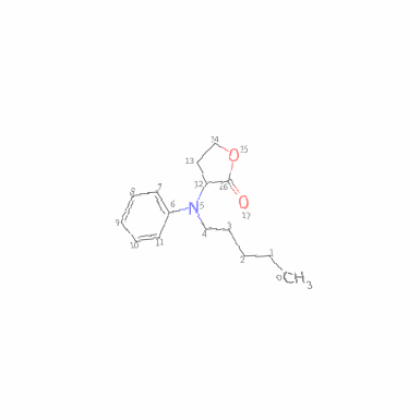 CCCCCN(c1ccccc1)C1CCOC1=O